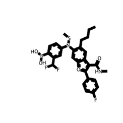 CCCCc1cc2c(C(=O)NC)c(-c3ccc(F)cc3)oc2cc1N(SC)c1ccc(B(O)O)c(C(F)F)c1